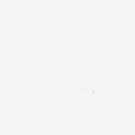 CN(C)CCCCCCCc1ccccc1